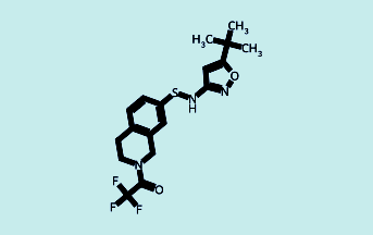 CC(C)(C)c1cc(NSc2ccc3c(c2)CN(C(=O)C(F)(F)F)CC3)no1